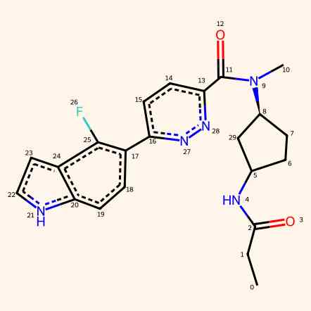 CCC(=O)NC1CC[C@H](N(C)C(=O)c2ccc(-c3ccc4[nH]ccc4c3F)nn2)C1